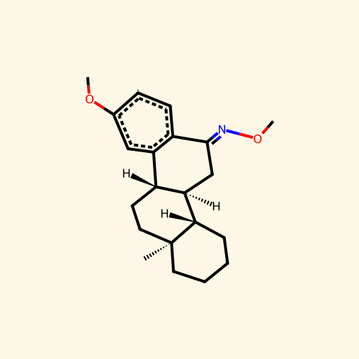 CO/N=C1\C[C@@H]2[C@H](CC[C@]3(C)CCCC[C@@H]23)c2cc(OC)[c]cc21